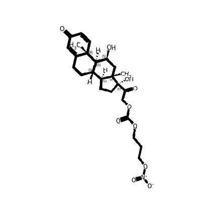 C[C@]12C=CC(=O)C=C1CC[C@@H]1[C@@H]2[C@@H](O)C[C@@]2(C)[C@H]1CC[C@]2(O)C(=O)COC(=O)OCCCO[N+](=O)[O-]